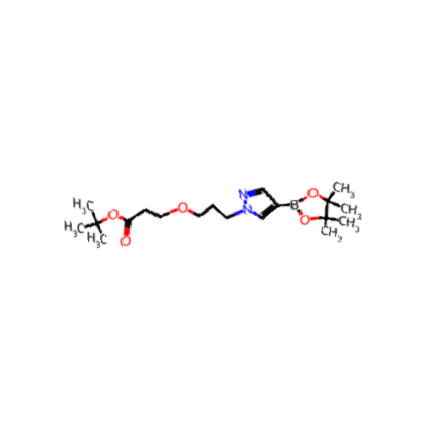 CC(C)(C)OC(=O)CCOCCCn1cc(B2OC(C)(C)C(C)(C)O2)cn1